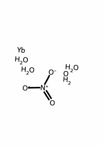 O.O.O.O.O=[N+]([O-])[O-].[Yb]